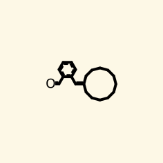 O=Cc1ccccc1C=C1CCCCCCCCCCC1